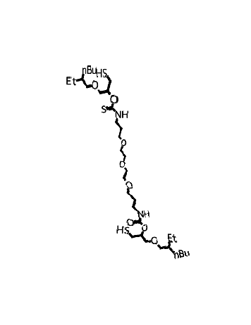 CCCCC(CC)COCC(CS)OC(=O)NCCCOCCOCCOCCCNC(=S)OC(CS)COCC(CC)CCCC